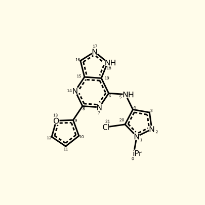 CC(C)n1ncc(Nc2nc(-c3ccco3)nc3cn[nH]c23)c1Cl